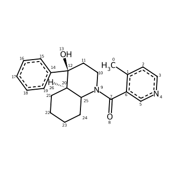 Cc1ccncc1C(=O)N1CC[C@@](O)(c2ccccc2)[C@@H]2CCCCC21